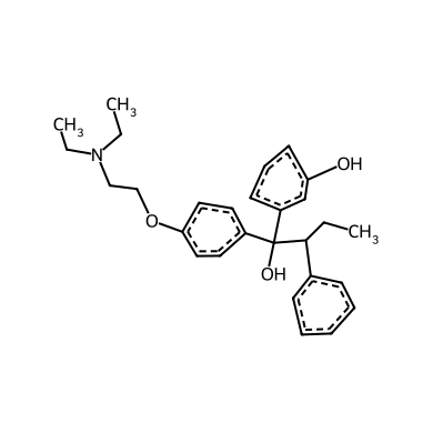 CCC(c1ccccc1)C(O)(c1ccc(OCCN(CC)CC)cc1)c1cccc(O)c1